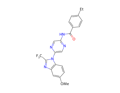 CCc1ccc(C(=O)Nc2cnc(-n3c(C(F)(F)F)nc4cc(OC)ccc43)cn2)cc1